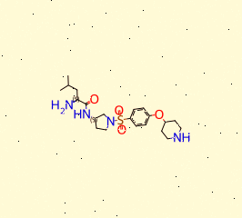 CC(C)C[C@H](N)C(=O)N[C@H]1CCN(S(=O)(=O)c2ccc(OC3CCNCC3)cc2)C1